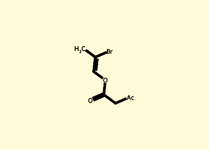 CC(=O)CC(=O)OC=C(C)Br